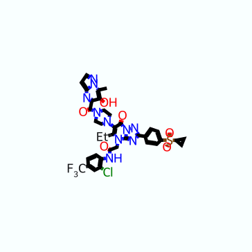 CCc1c(N2CCN(C(=O)c3nc4ccnn4c(C)c3O)CC2)c(=O)n2nc(-c3ccc(S(=O)(=O)C4CC4)cc3)nc2n1CC(=O)Nc1ccc(C(F)(F)F)cc1Cl